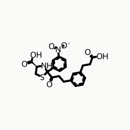 O=C(O)CCc1cccc(CCC(=O)C2(c3cccc([N+](=O)[O-])c3)N[C@H](C(=O)O)CS2)c1